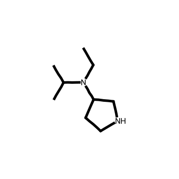 CCN(C(C)C)C1CCNC1